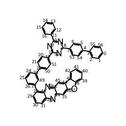 c1ccc(-c2ccc(-c3nc(-c4ccccc4)nc(-c4ccc(-c5cccc(-c6cccc7nc8cc9oc%10ccccc%10c9cc8nc67)c5)cc4)n3)cc2)cc1